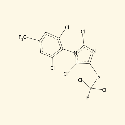 FC(Cl)(Cl)Sc1nc(Cl)n(-c2c(Cl)cc(C(F)(F)F)cc2Cl)c1Cl